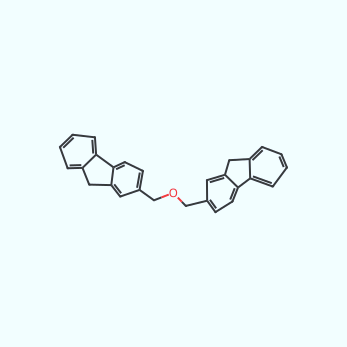 c1ccc2c(c1)Cc1cc(COCc3ccc4c(c3)Cc3ccccc3-4)ccc1-2